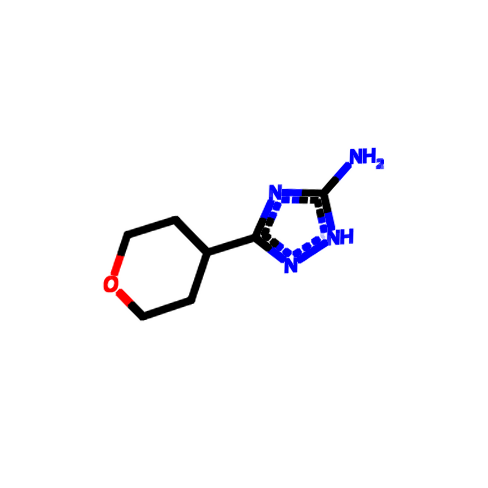 Nc1nc(C2CCOCC2)n[nH]1